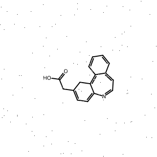 O=C(O)CC1=CC=C2N=CC=c3ccccc3=C2C1